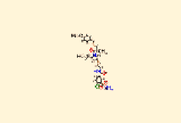 COc1ccc(CSCC(C)C(=O)N2CC(SCCNC(=O)c3ccc(Cl)c(S(N)(=O)=O)c3)C[C@H]2C(=O)O)cc1